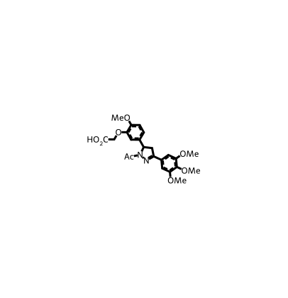 COc1ccc(C2CC(c3cc(OC)c(OC)c(OC)c3)=NN2C(C)=O)cc1OCC(=O)O